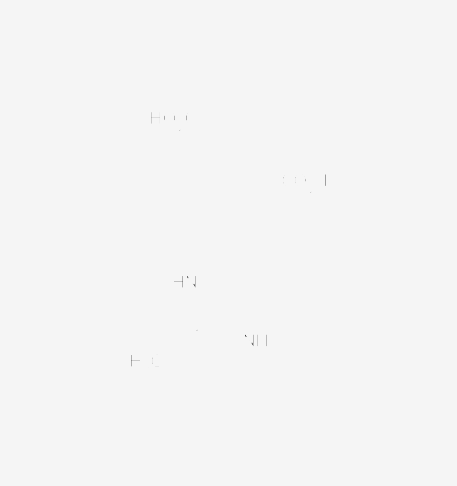 CC(=N)NCCC(CC(=O)O)C(=O)O